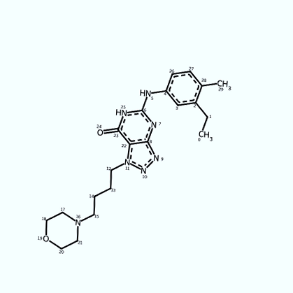 CCc1cc(Nc2nc3nnn(CCCCN4CCOCC4)c3c(=O)[nH]2)ccc1C